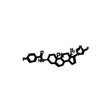 C[C@]12CC[C@H](NC(=O)c3ccc(F)cc3)CC1=CCC1C2CC[C@]2(C)C(n3cnc(F)c3)=CCC12